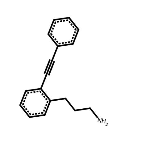 NCCCc1ccccc1C#Cc1ccccc1